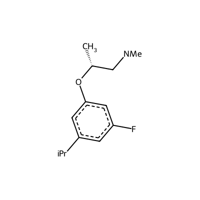 CNC[C@@H](C)Oc1cc(F)cc(C(C)C)c1